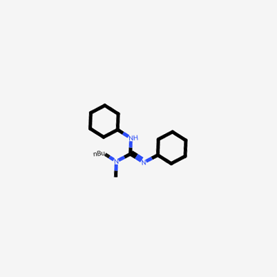 CCCCN(C)/C(=N/C1CCCCC1)NC1CCCCC1